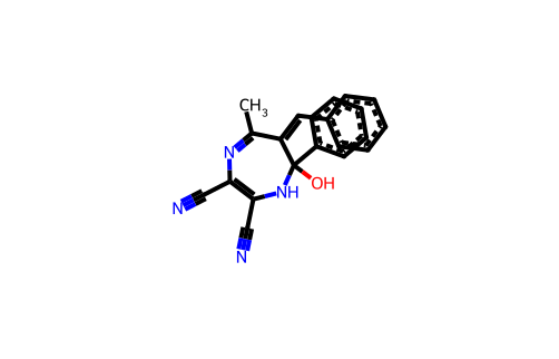 CC1=NC(C#N)=C(C#N)NC(O)(c2ccccc2)/C1=C\c1ccccc1